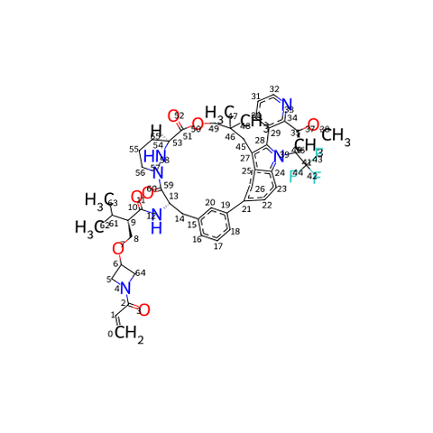 C=CC(=O)N1CC(OC[C@H](C(=O)N[C@H]2Cc3cccc(c3)-c3ccc4c(c3)c(c(-c3cccnc3[C@H](C)OC)n4CC(F)(F)F)CC(C)(C)COC(=O)[C@@H]3CCCN(N3)C2=O)C(C)C)C1